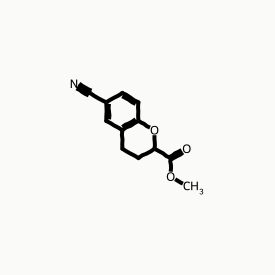 COC(=O)C1CCc2cc(C#N)ccc2O1